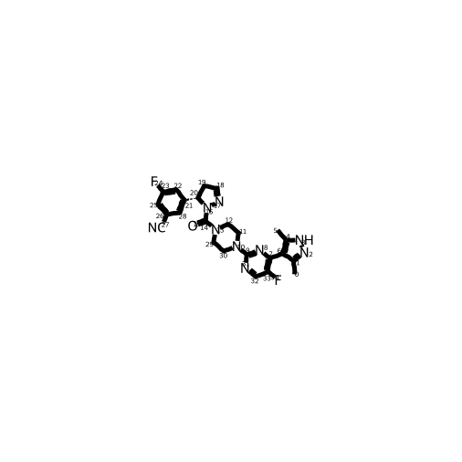 Cc1n[nH]c(C)c1-c1nc(N2CCN(C(=O)N3N=CC[C@H]3c3cc(F)cc(C#N)c3)CC2)ncc1F